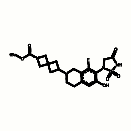 CC(C)(C)OC(=O)N1CC2(CC(N3CCc4cc(O)c(N5CC(=O)NS5(=O)=O)c(F)c4C3)C2)C1